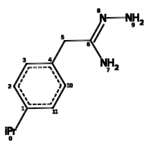 CC(C)c1ccc(C/C(N)=N/N)cc1